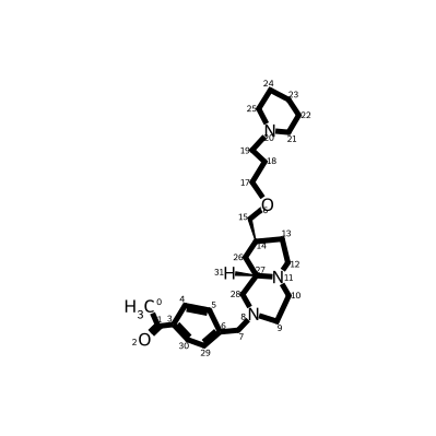 CC(=O)c1ccc(CN2CCN3CC[C@H](COCCCN4CCCCC4)C[C@H]3C2)cc1